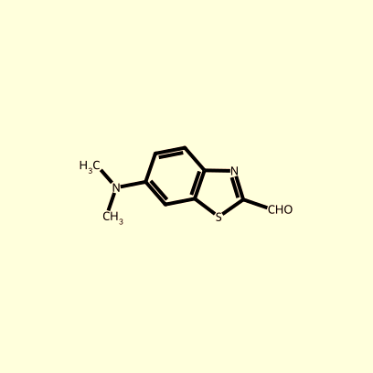 CN(C)c1ccc2nc(C=O)sc2c1